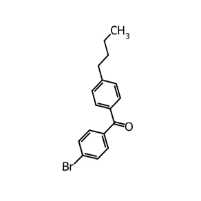 CCCCc1ccc(C(=O)c2ccc(Br)cc2)cc1